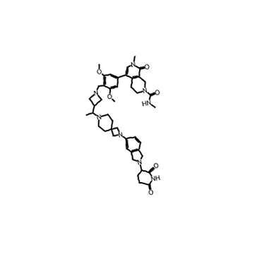 CNC(=O)N1CCc2c(-c3cc(OC)c(CN4CC(C(C)N5CCC6(CC5)CN(c5ccc7c(c5)CN(C5CCC(=O)NC5=O)C7)C6)C4)c(OC)c3)cn(C)c(=O)c2C1